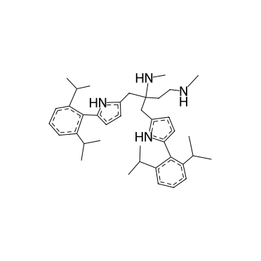 CNCCC(Cc1ccc(-c2c(C(C)C)cccc2C(C)C)[nH]1)(Cc1ccc(-c2c(C(C)C)cccc2C(C)C)[nH]1)NC